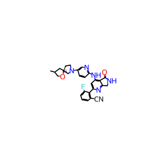 CC1CO[C@]2(CCN(c3ccc(Nc4cc(-c5c(F)cccc5C#N)nc5c4C(=O)NC5)nc3)C2)C1